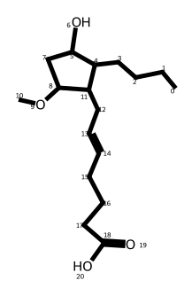 CCCCC1C(O)CC(OC)C1C/C=C/CCCC(=O)O